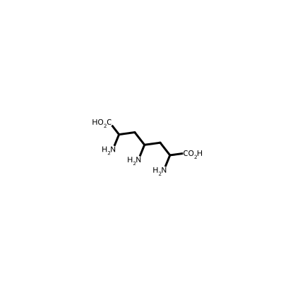 NC(CC(N)C(=O)O)CC(N)C(=O)O